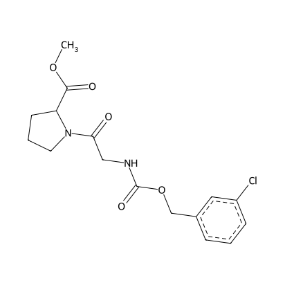 COC(=O)C1CCCN1C(=O)CNC(=O)OCc1cccc(Cl)c1